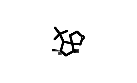 C[C@H]1CNC2(CCOC2)C1C(C)(C)C